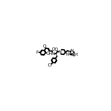 CCCCCCCC1(Cn2cncn2)CCN(C(=O)[C@@H](Cc2ccc(Cl)cc2)NC(=O)c2cc(=O)c3cc(F)ccc3o2)CC1